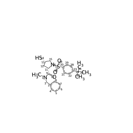 CN(Cc1ccccc1)C(=O)[C@@H]1C[C@H](S)CN1S(=O)(=O)c1ccc(C(C)(C)C)cc1